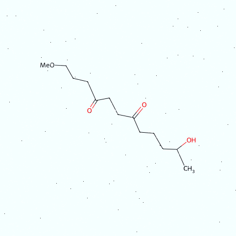 COCCCC(=O)CCC(=O)CCCC(C)O